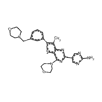 Cc1c(-c2cccc(CN3CCOCC3)c2)sc2c(N3CCOCC3)nc(-c3cnc(N)nc3)nc12